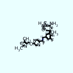 Cc1nc(COc2cnc(/C(F)=C/c3cc(F)c(F)c([C@]4(C)CS(=O)(=O)N(C)C(N)=N4)c3)cn2)c(C)o1